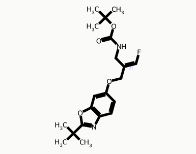 CC(C)(C)OC(=O)NC/C(=C\F)COc1ccc2nc(C(C)(C)C)oc2c1